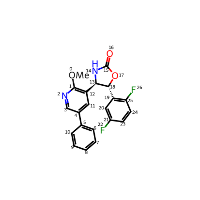 COc1ncc(-c2ccccc2)cc1[C@H]1NC(=O)O[C@@H]1c1cc(F)ccc1F